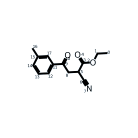 CCOC(=O)C(C#N)CC(=O)c1cccc(C)c1